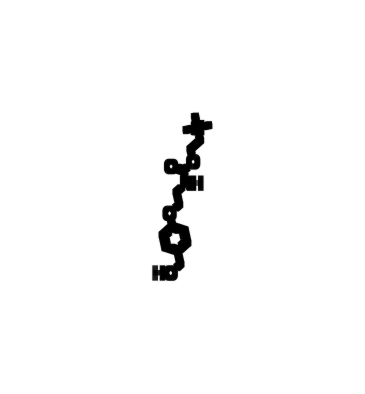 C[Si](C)(C)CCOC(=O)NCCOc1ccc(CO)cc1